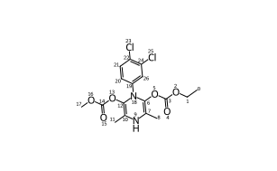 CCOC(=O)OC1=C(C)NC(C)=C(OC(=O)OC)N1c1ccc(Cl)c(Cl)c1